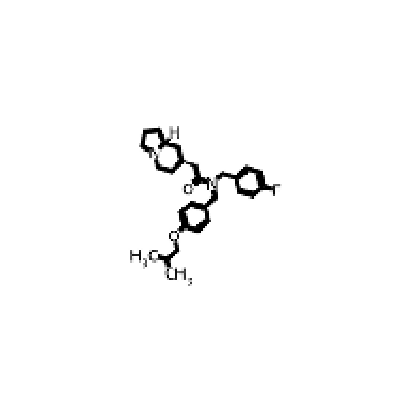 CC(C)COc1ccc(CN(Cc2ccc(F)cc2)C(=O)C[C@H]2CCN3CCC[C@@H]3C2)cc1